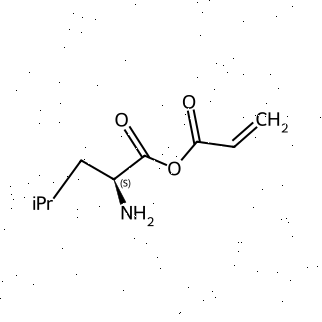 C=CC(=O)OC(=O)[C@@H](N)CC(C)C